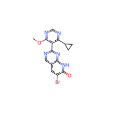 COc1ncnc(C2CC2)c1-c1ncc2cc(Br)c(=O)[nH]c2n1